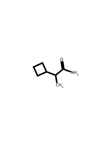 CC(C(N)=O)C1CCC1